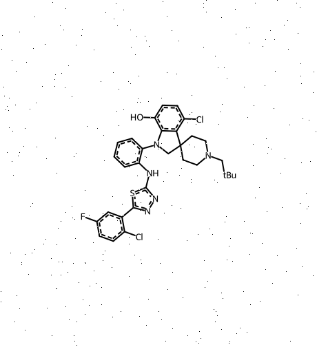 CC(C)(C)CN1CCC2(CC1)CN(c1ccccc1Nc1nnc(-c3cc(F)ccc3Cl)s1)c1c(O)ccc(Cl)c12